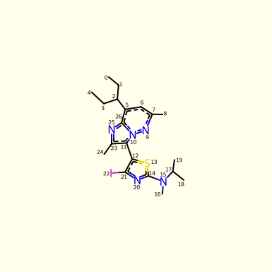 CCC(CC)c1cc(C)nn2c(-c3sc(N(C)C(C)C)nc3I)c(C)nc12